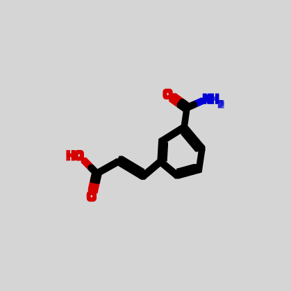 NC(=O)c1cccc(C=CC(=O)O)c1